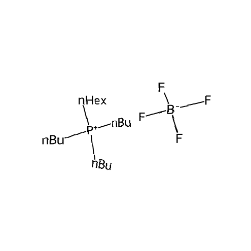 CCCCCC[P+](CCCC)(CCCC)CCCC.F[B-](F)(F)F